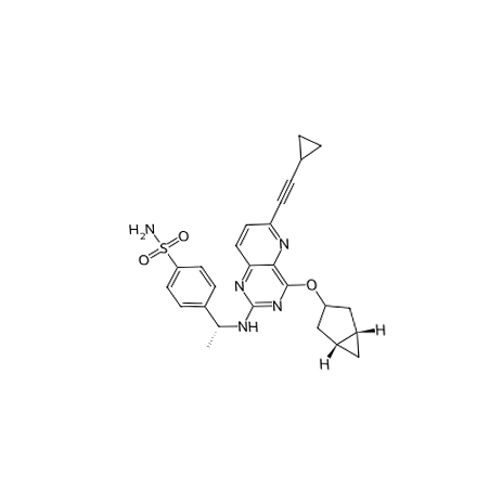 C[C@@H](Nc1nc(OC2C[C@@H]3C[C@@H]3C2)c2nc(C#CC3CC3)ccc2n1)c1ccc(S(N)(=O)=O)cc1